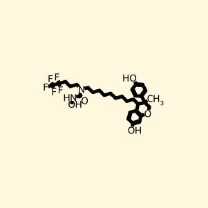 CC1(c2ccc(O)cc2)COc2cc(O)ccc2C1CCCCCCCCCN(CCCC(F)(F)C(F)(F)F)C(=O)NO